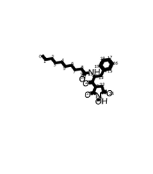 CCCCCCCCCC(=O)NC(Cc1ccccc1)C(=O)C1CC(=O)N(O)C1=O